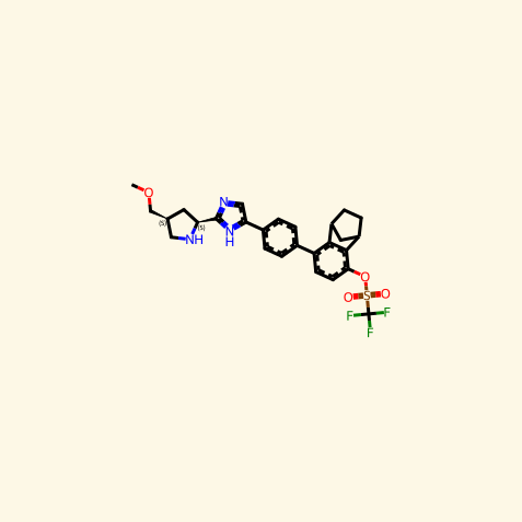 COC[C@@H]1CN[C@H](c2ncc(-c3ccc(-c4ccc(OS(=O)(=O)C(F)(F)F)c5c4C4CCC5C4)cc3)[nH]2)C1